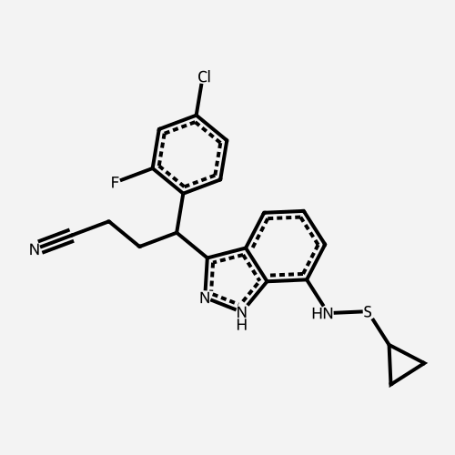 N#CCCC(c1ccc(Cl)cc1F)c1n[nH]c2c(NSC3CC3)cccc12